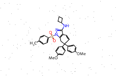 COc1ccc(C2(c3ccc(OC)cc3)C=Cc3c(NC4CCC4)nn(S(=O)(=O)c4ccc(C)cc4)c3C2)cc1